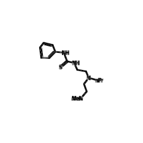 CCCN(CCNC)CCNC(=S)Nc1ccccc1